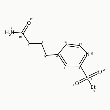 CCS(=O)(=O)c1cc([CH]CCC(N)=O)ccn1